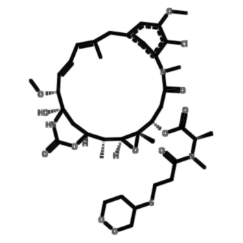 COc1cc2cc(c1Cl)N(C)C(=O)C[C@H](OC(=O)[C@@H](C)N(C)C(=O)CCSC1CCOOC1)[C@]1(C)O[C@H]1[C@H](C)[C@@H]1C[C@@](O)(NC(=O)O1)[C@H](OC)/C=C/C=C(\C)C2